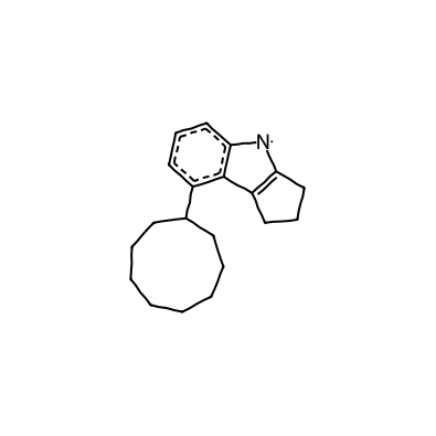 c1cc2c(c(C3CCCCCCCC3)c1)C1=C(CCC1)[N]2